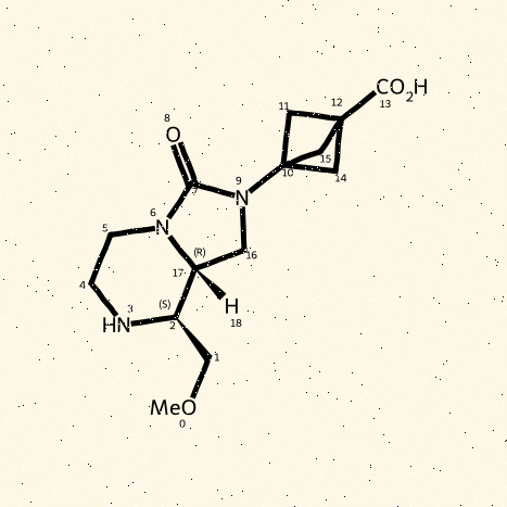 COC[C@H]1NCCN2C(=O)N(C34CC(C(=O)O)(C3)C4)C[C@H]12